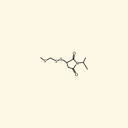 CSCSSC1CC(=O)N(C(C)C)C1=O